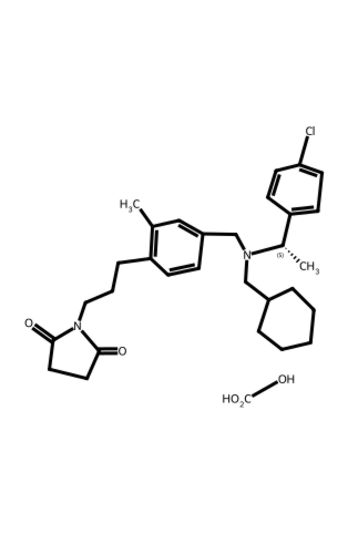 Cc1cc(CN(CC2CCCCC2)[C@@H](C)c2ccc(Cl)cc2)ccc1CCCN1C(=O)CCC1=O.O=C(O)O